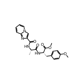 COC(=O)[C@H](Cc1ccc(OC)cc1)NC(=O)[C@H](C)NC(=O)c1cn2ccccc2n1